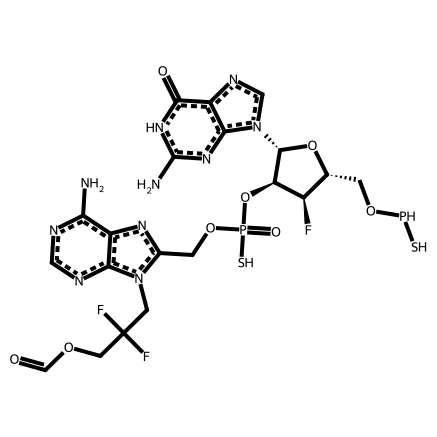 Nc1nc2c(ncn2[C@@H]2O[C@H](COPS)[C@@H](F)[C@H]2OP(=O)(S)OCc2nc3c(N)ncnc3n2CC(F)(F)COC=O)c(=O)[nH]1